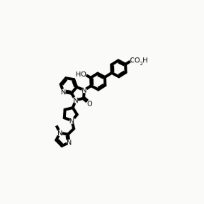 Cn1ccnc1CN1CCC(n2c(=O)n(-c3ccc(-c4ccc(C(=O)O)cc4)cc3O)c3cccnc32)C1